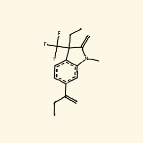 C=C(CC)c1ccc2c(c1)N(C)C(=C)C2(CC)C(F)(F)F